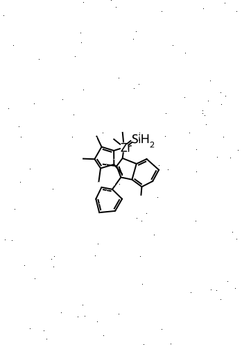 CC1=C(C)C(C)[C]([Zr]([CH3])([CH3])(=[SiH2])[CH]2C(C)=C(c3ccccc3)c3c(C)cccc32)=C1C